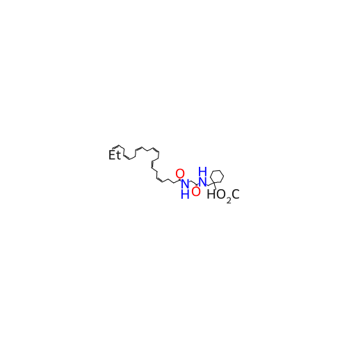 CC/C=C\C/C=C\C/C=C\C/C=C\C/C=C\C/C=C\CCC(=O)NCC(=O)NCC1(CC(=O)O)CCCCC1